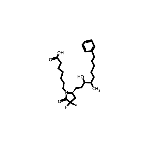 CC(CCCCCc1ccccc1)C(O)CC[C@H]1CC(F)(F)C(=O)N1CCCCCCC(=O)O